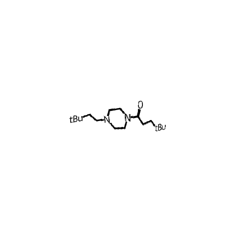 CC(C)(C)CCC(=O)N1CCN(CCC(C)(C)C)CC1